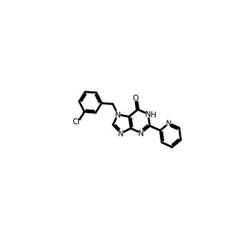 O=c1[nH]c(-c2ccccn2)nc2ncn(Cc3cccc(Cl)c3)c12